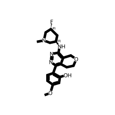 COc1ccc(-c2nnc(N[C@@H]3C[C@@H](F)CN(C)C3)c3c2CCOC3)c(O)c1